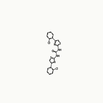 O=C(Nc1nc(-c2ccccc2Cl)cs1)Nc1nc(-c2ccccc2Cl)cs1